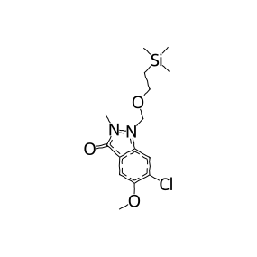 COc1cc2c(=O)n(C)n(COCC[Si](C)(C)C)c2cc1Cl